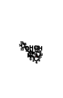 C[C@@]1(c2ccccc2)N=C(COC2CCCC2)N[C@@H]1c1ccccc1.Cl